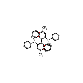 Cc1c(C(F)(F)F)cc(P(c2ccccc2)c2ccccc2)c(-c2c(P(c3ccccc3)c3ccccc3)cc(C(F)(F)F)c(C)c2C(F)(F)F)c1C(F)(F)F